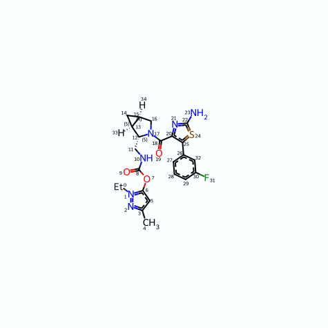 CCn1nc(C)cc1OC(=O)NC[C@@H]1[C@H]2C[C@H]2CN1C(=O)c1nc(N)sc1-c1cccc(F)c1